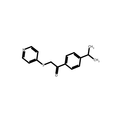 CC(C)c1ccc(C(=O)CSc2ccncc2)cc1